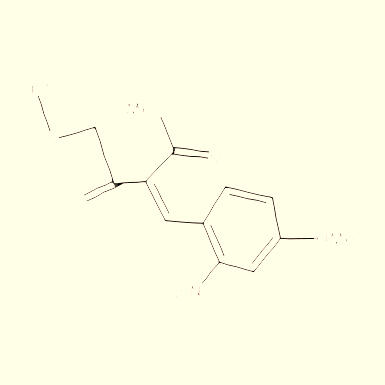 CCCSCC(=O)C(=Cc1ccc(OC)cc1[N+](=O)[O-])C(=O)OC